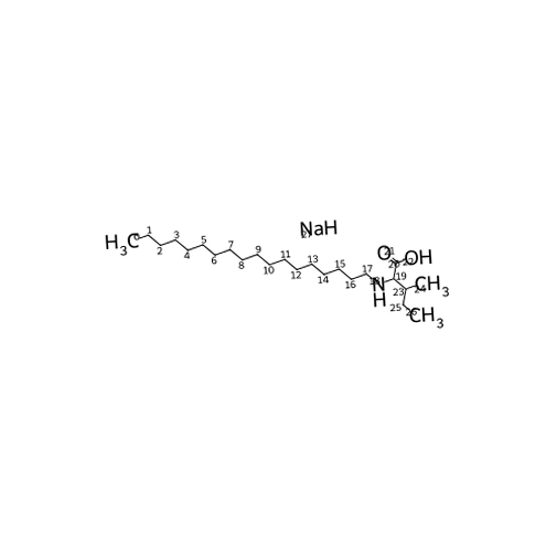 CCCCCCCCCCCCCCCCCCNC(C(=O)O)C(C)CC.[NaH]